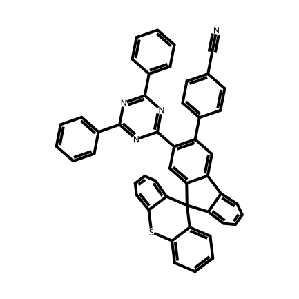 N#Cc1ccc(-c2cc3c(cc2-c2nc(-c4ccccc4)nc(-c4ccccc4)n2)C2(c4ccccc4Sc4ccccc42)c2ccccc2-3)cc1